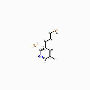 Br.Cc1cncc(CCCBr)c1